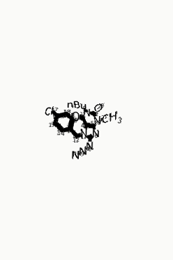 CCCCn1c(=O)c2c(nc(N=[N+]=[N-])n2Cc2ccc(Cl)cc2)n(C)c1=O